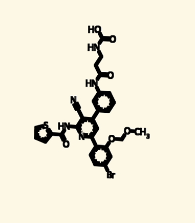 COCOc1cc(Br)ccc1-c1cc(-c2cccc(NC(=O)CCNC(=O)O)c2)c(C#N)c(NC(=O)c2cccs2)n1